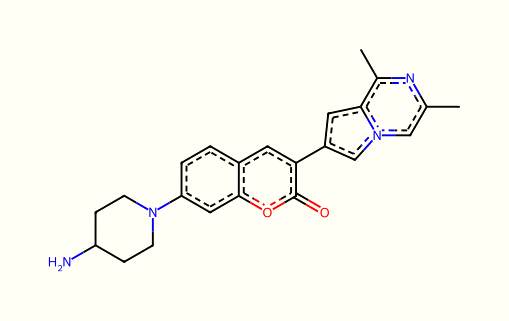 Cc1cn2cc(-c3cc4ccc(N5CCC(N)CC5)cc4oc3=O)cc2c(C)n1